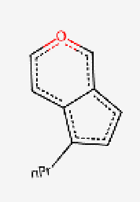 [CH2]CCc1ccc2coccc1-2